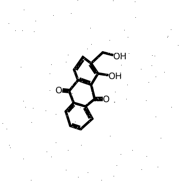 O=C1c2ccccc2C(=O)c2c1ccc(CO)c2O